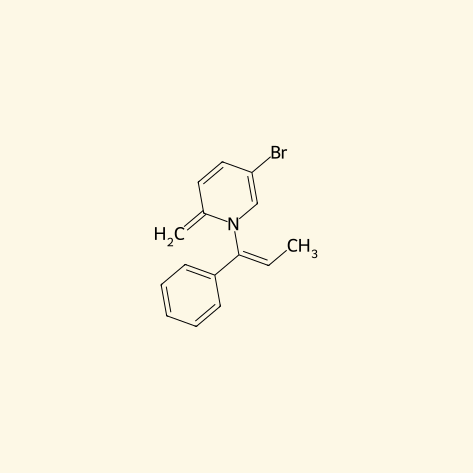 C=C1C=CC(Br)=CN1/C(=C\C)c1ccccc1